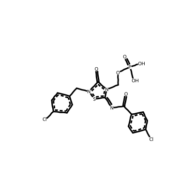 O=C(/N=c1/sn(Cc2ccc(Cl)cc2)c(=O)n1COP(=O)(O)O)c1ccc(Cl)cc1